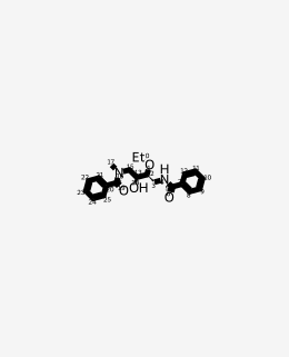 CCO[C@H](CNC(=O)c1ccccc1)[C@@H](O)CN(C)C(=O)c1ccccc1